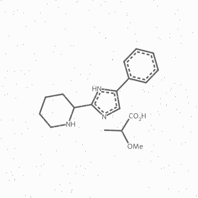 COC(C)C(=O)O.c1ccc(-c2cnc(C3CCCCN3)[nH]2)cc1